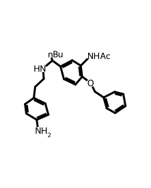 CCCCC(NCCc1ccc(N)cc1)c1ccc(OCc2ccccc2)c(NC(C)=O)c1